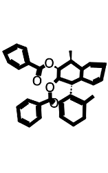 CC1=C([C@H]2C3C=CC=CC3[C@H](C)[C@@H](OC(=O)c3ccccc3)C2OC(=O)c2ccccc2)C=CCC1